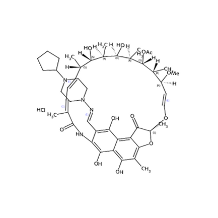 CO[C@H]1/C=C/O[C@@]2(C)Oc3c(C)c(O)c4c(O)c(c(/C=N/N5CCN(C6CCCC6)CC5)c(O)c4c3C2=O)NC(=O)/C(C)=C\C=C\[C@H](C)[C@H](O)[C@@H](C)[C@@H](O)[C@@H](C)[C@H](OC(C)=O)[C@@H]1C.Cl